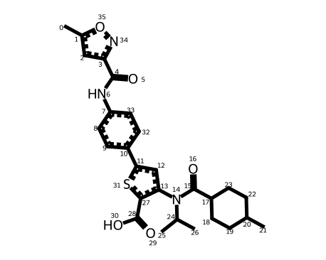 Cc1cc(C(=O)Nc2ccc(-c3cc(N(C(=O)C4CCC(C)CC4)C(C)C)c(C(=O)O)s3)cc2)no1